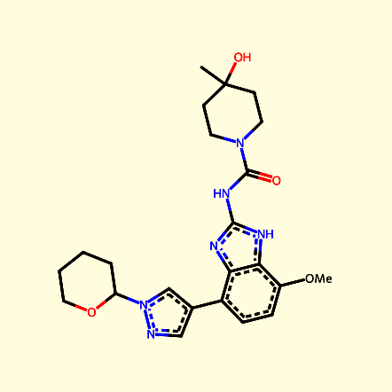 COc1ccc(-c2cnn(C3CCCCO3)c2)c2nc(NC(=O)N3CCC(C)(O)CC3)[nH]c12